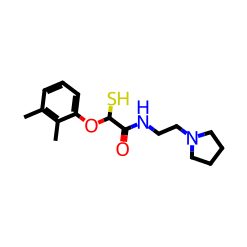 Cc1cccc(OC(S)C(=O)NCCN2CCCC2)c1C